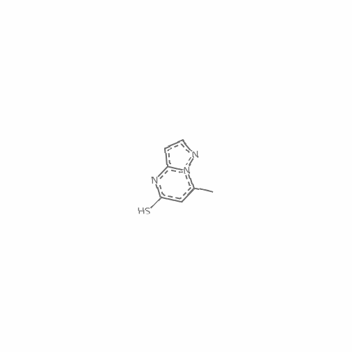 Cc1cc(S)nc2ccnn12